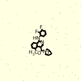 Cc1cccc2c(Nc3cccc(F)c3F)ncc(C(=O)N3CC4CC(C3)O4)c12